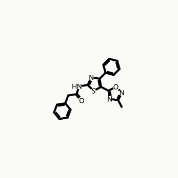 Cc1noc(-c2sc(NC(=O)Cc3ccccc3)nc2-c2ccccc2)n1